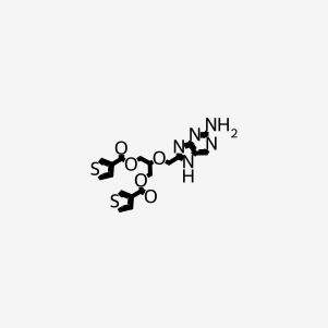 Nc1ncc2[nH]c(COC(COC(=O)c3ccsc3)COC(=O)c3ccsc3)nc2n1